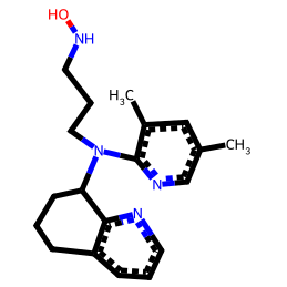 Cc1cnc(N(CCCNO)C2CCCc3cccnc32)c(C)c1